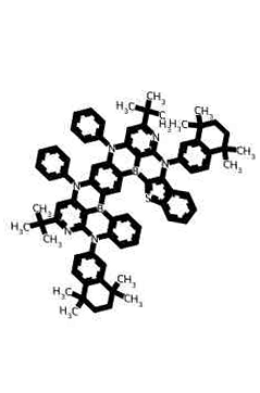 CC(C)(C)c1cc2c3c(n1)N(c1ccc4c(c1)C(C)(C)CCC4(C)C)c1ccccc1B3c1cc3c(cc1N2c1ccccc1)N(c1ccccc1)c1cc(C(C)(C)C)nc2c1B3c1sc3ccccc3c1N2c1ccc2c(c1)C(C)(C)CCC2(C)C